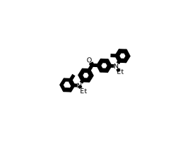 CCN(C1=C(C)CCC=C1)c1ccc(C(=O)c2ccc(N(CC)c3ccccc3C)cc2)cc1